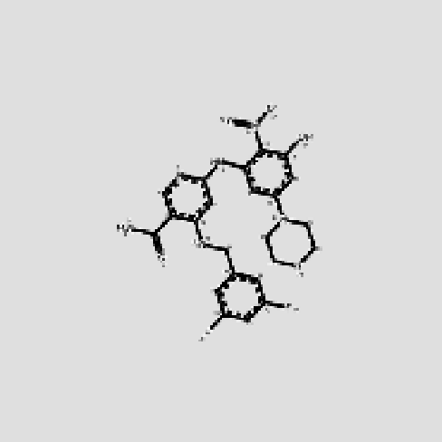 NC(=O)c1cnc(Nc2cc(N3CCOCC3)cc(O)c2[N+](=O)[O-])cc1NCc1cc(F)cc(F)c1